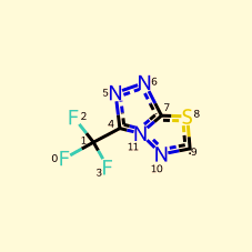 FC(F)(F)c1nnc2s[c]nn12